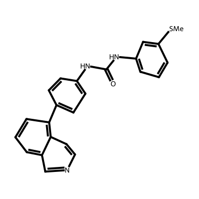 CSc1cccc(NC(=O)Nc2ccc(-c3cccc4cnccc34)cc2)c1